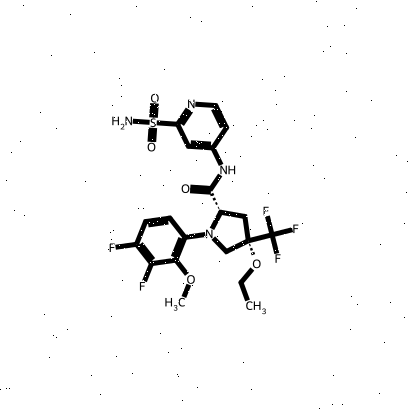 CCO[C@@]1(C(F)(F)F)C[C@@H](C(=O)Nc2ccnc(S(N)(=O)=O)c2)N(c2ccc(F)c(F)c2OC)C1